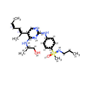 C/C=C\C=C(/C)c1cnc(Nc2ccc(S(C)(=O)=NCCC)cc2)nc1N[C@H](C)CO